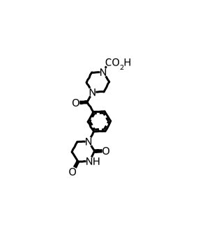 O=C1CCN(c2cccc(C(=O)N3CCN(C(=O)O)CC3)c2)C(=O)N1